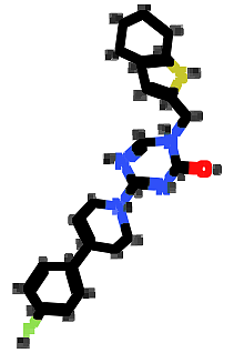 O=c1nc(N2CC=C(c3ccc(F)cc3)CC2)ncn1Cc1cc2c(s1)CCCC2